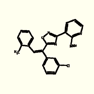 CNc1ncccc1-c1noc(C(=Cc2ccccc2C)c2cccc(Cl)c2)n1